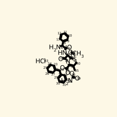 CO[C@@]1(NC(=O)C(N)c2ccccc2)C(=O)N2C(C(=O)OC(c3ccccc3)c3ccccc3)=C(COC(N)=O)CS[C@H]21.Cl